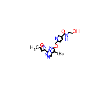 Cc1cc(-c2nncc3c(C(C)(C)C)c(OCc4ccc(C(=O)NCCO)cn4)nn23)no1